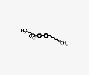 CCCCCCCCc1ccc(-c2ccc(C(=O)CC(=O)CCC)cc2)cc1